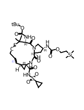 CC(C)(C)OC(=O)N[C@@H]1C(=O)N2C[C@H](NC(=O)OCC[Si](C)(C)C)C[C@H]2C(=O)N[C@]2(C(=O)NS(=O)(=O)C3CC3)C[C@H]2/C=C/CCSC1(C)C